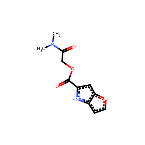 CN(C)C(=O)COC(=O)c1cc2occc2[nH]1